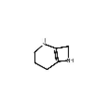 C1CNC2=C(C1)NC2